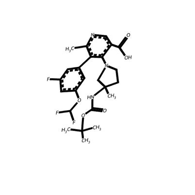 Cc1ncc(C(=O)O)c(N2CCC(C)(NC(=O)OC(C)(C)C)C2)c1-c1cc(F)cc(OC(F)F)c1